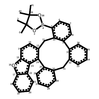 CC1(C)OB(c2cccc3c2Cc2ccc4oc5ccccc5c4c2-c2ccccc2Cc2ccccc2-3)OC1(C)C